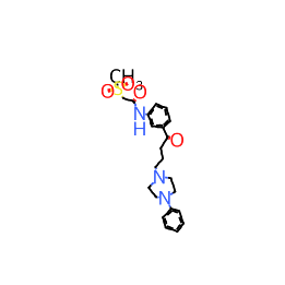 CS(=O)(=O)CC(=O)Nc1cccc(C(=O)CCCN2CCN(c3ccccc3)CC2)c1